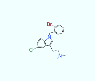 CN(C)CCc1cn(Cc2ccccc2Br)c2ccc(Cl)cc12